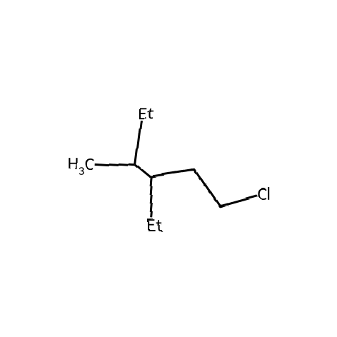 CCC(C)C(CC)CCCl